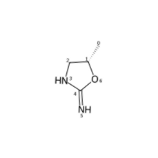 C[C@H]1CNC(=N)O1